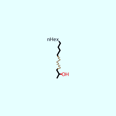 CCCCCCCCCCSSSCC(C)O